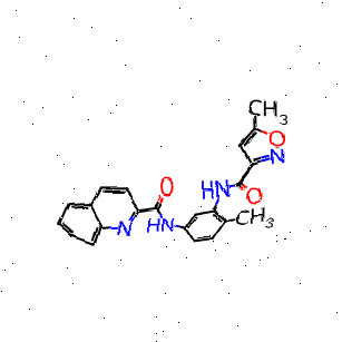 Cc1cc(C(=O)Nc2cc(NC(=O)c3ccc4ccccc4n3)ccc2C)no1